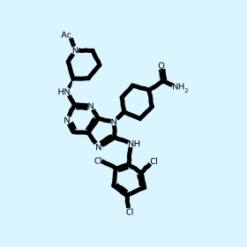 CC(=O)N1CCC[C@@H](Nc2ncc3nc(Nc4c(Cl)cc(Cl)cc4Cl)n(C4CCC(C(N)=O)CC4)c3n2)C1